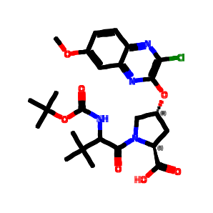 COc1ccc2nc(Cl)c(O[C@@H]3C[C@@H](C(=O)O)N(C(=O)C(NC(=O)OC(C)(C)C)C(C)(C)C)C3)nc2c1